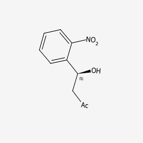 CC(=O)C[C@H](O)c1ccccc1[N+](=O)[O-]